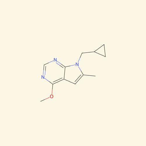 COc1ncnc2c1cc(C)n2CC1CC1